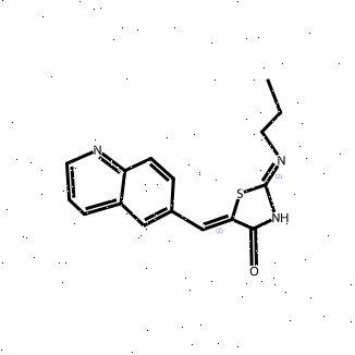 CCC/N=C1/NC(=O)/C(=C/c2ccc3ncccc3c2)S1